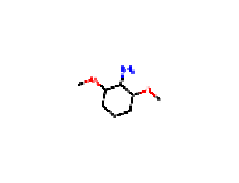 COC1CCCC(OC)C1N